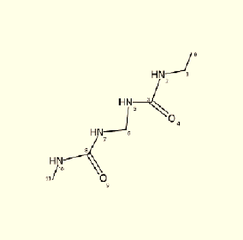 CCNC(=O)NCNC(=O)NC